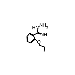 CCCOc1ccccc1C(=N)NN